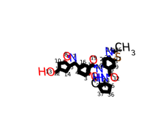 COc1ccc(C2=NOC3CC(CO)CC23)cc1C(=O)Nc1cc2nc(C)sc2cc1C(=O)NC1CCCC1